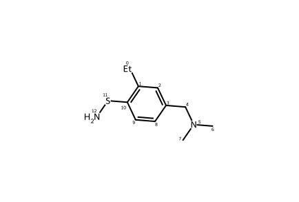 CCc1cc(CN(C)C)ccc1SN